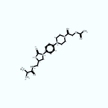 CC(=O)OCC(=O)N1CCN(c2ccc(N3CC(CNC(=S)C(C)C)OC3=O)cc2)CC1